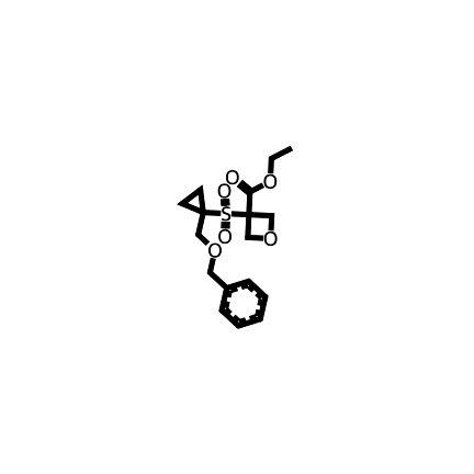 CCOC(=O)C1(S(=O)(=O)C2(COCc3ccccc3)CC2)COC1